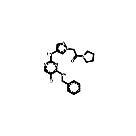 O=C(Cn1cc(Nc2ncc(Cl)c(NCc3ccccc3)n2)cn1)N1CCCC1